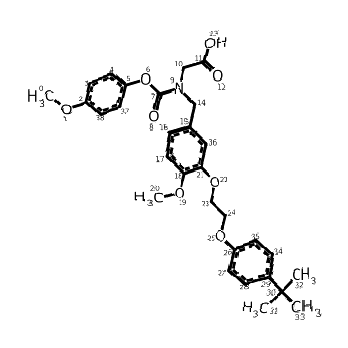 COc1ccc(OC(=O)N(CC(=O)O)Cc2ccc(OC)c(OCCOc3ccc(C(C)(C)C)cc3)c2)cc1